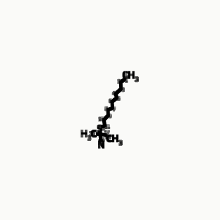 CCCCCCCCCCCCSC(C)(C#N)CC